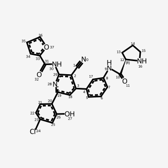 N#Cc1c(-c2cccc(NC(=O)[C@H]3CCCN3)c2)cc(-c2ccc(Cl)cc2O)nc1NC(=O)c1ccco1